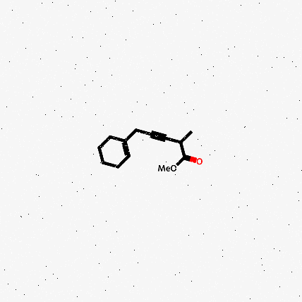 COC(=O)C(C)C#CCC1=CC[CH]CC1